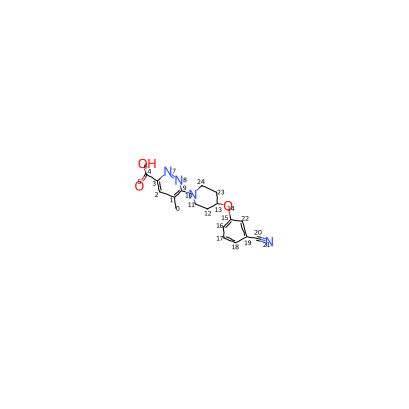 Cc1cc(C(=O)O)nnc1N1CCC(Oc2cccc(C#N)c2)CC1